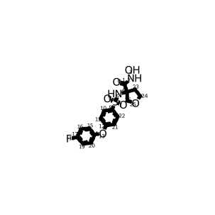 O=C(NO)C1(NS(=O)(=O)c2ccc(Oc3ccc(F)cc3)cc2)CCOC1